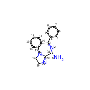 N[C@H]1N=C(c2ccccc2)c2ccccc2N2CCN=C12